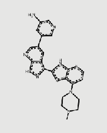 CN1CCN(c2ccnc3[nH]c(-c4n[nH]c5ncc(-c6cncc(N)c6)cc45)nc23)CC1